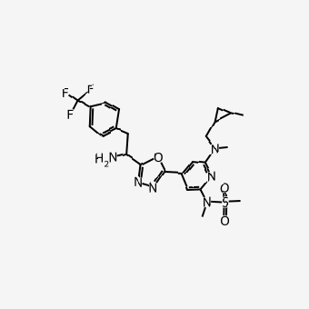 CC1CC1CN(C)c1cc(-c2nnc(C(N)Cc3ccc(C(F)(F)F)cc3)o2)cc(N(C)S(C)(=O)=O)n1